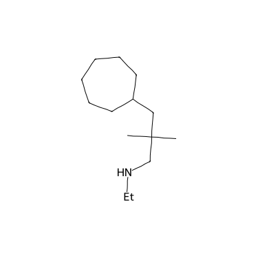 CCNCC(C)(C)CC1CCCCCC1